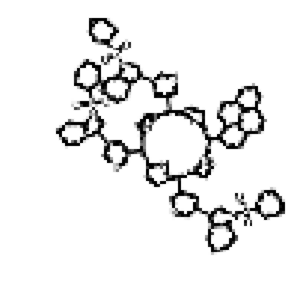 O=S(=O)(c1ccccc1)n1cc(-c2cncc(-c3c4nc(c(-c5cncc(-c6cn(S(=O)(=O)c7ccccc7)c7ccccc67)c5)c5ccc([nH]5)c(-c5ccc6ccc7cccc8ccc5c6c78)c5nc(c(-c6cncc(-c7cn(S(=O)(=O)c8ccccc8)c8ccccc78)c6)c6ccc3[nH]6)C=C5)C=C4)c2)c2ccccc21